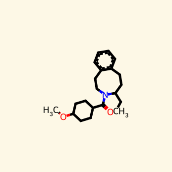 CCC1CCc2ccccc2CCN1C(=O)C1CCC(OC)CC1